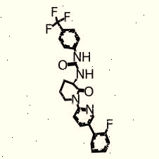 O=C(Nc1ccc(C(F)(F)F)cc1)N[C@@H]1CCCN(c2ccc(-c3ccccc3F)cn2)C1=O